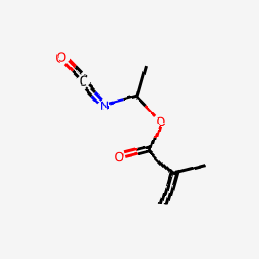 C=C(C)C(=O)O[C](C)N=C=O